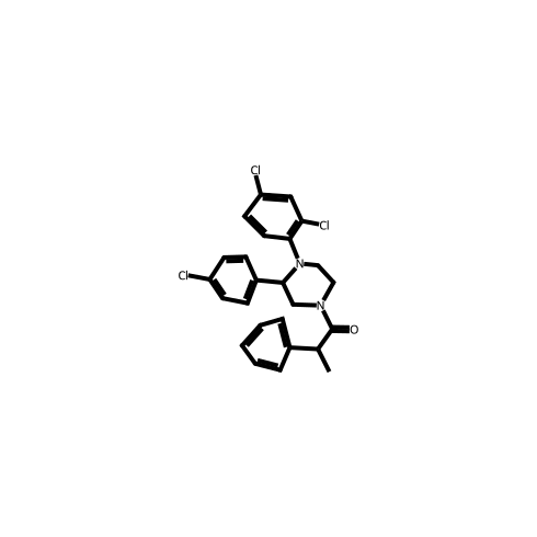 CC(C(=O)N1CCN(c2ccc(Cl)cc2Cl)C(c2ccc(Cl)cc2)C1)c1ccccc1